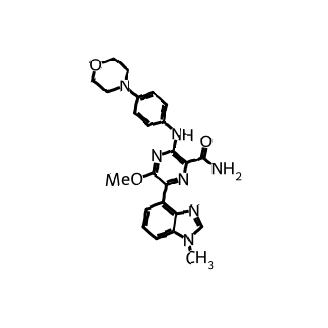 COc1nc(Nc2ccc(N3CCOCC3)cc2)c(C(N)=O)nc1-c1cccc2c1ncn2C